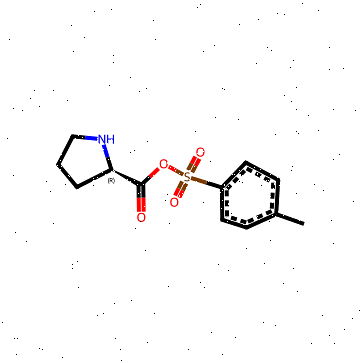 Cc1ccc(S(=O)(=O)OC(=O)[C@H]2CCCN2)cc1